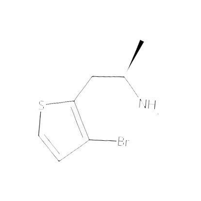 C[C@@H](N)Cc1sccc1Br